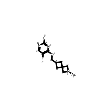 CC(=O)N1CC2(CC(COc3nc(Cl)ncc3F)C2)C1